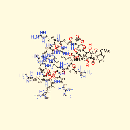 COc1cccc2c1C(=O)c1c(O)c3c(c(O)c1C2=O)C[C@](O)(C(=O)CO)C[C@@H]3OC1CC(NC(=O)CCC(=O)N[C@@H](CCCNC(=N)N)C(=O)N[C@@H](CCCNC(=N)N)C(=O)NCCCCC(NC(=O)C(CCCNC(=N)N)NC(=O)C(CCCNC(=N)N)NC(C)=O)C(=O)N[C@@H](CCCNC(=N)N)C(=O)N[C@@H](CCCNC(=N)N)C(=O)N[C@@H](CCCNC(=N)N)C(=O)N[C@@H](CCCNC(=N)N)C(N)=O)C2OC2O1